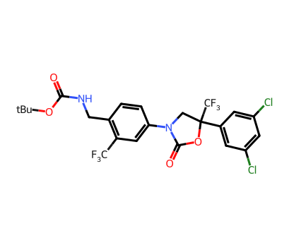 CC(C)(C)OC(=O)NCc1ccc(N2CC(c3cc(Cl)cc(Cl)c3)(C(F)(F)F)OC2=O)cc1C(F)(F)F